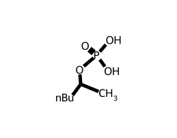 CCCCC(C)OP(=O)(O)O